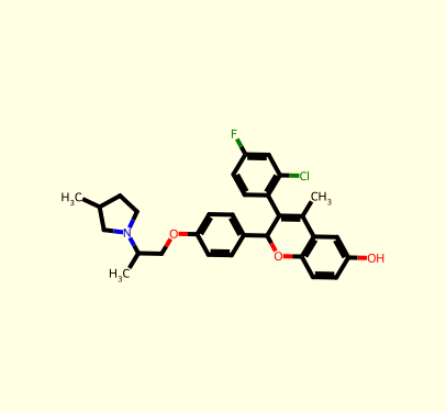 CC1=C(c2ccc(F)cc2Cl)C(c2ccc(OCC(C)N3CCC(C)C3)cc2)Oc2ccc(O)cc21